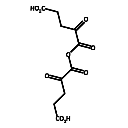 O=C(O)CCC(=O)C(=O)OC(=O)C(=O)CCC(=O)O